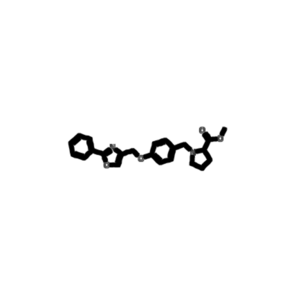 COC(=O)C1CCCN1Cc1ccc(OCc2coc(-c3ccccc3)n2)cc1